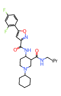 CC(C)CNC(=O)C1CN(C2CCCCC2)CCC1NC(=O)c1cc(-c2ccc(F)cc2F)on1